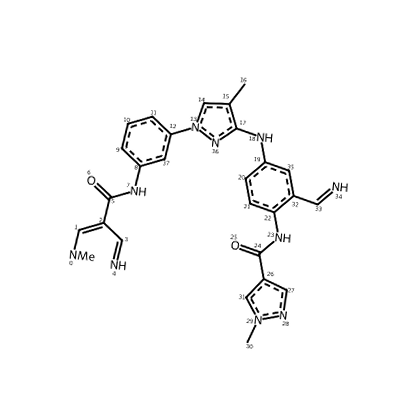 CN/C=C(\C=N)C(=O)Nc1cccc(-n2cc(C)c(Nc3ccc(NC(=O)c4cnn(C)c4)c(C=N)c3)n2)c1